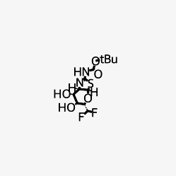 CC(C)(C)OC(=O)NC1=N[C@@H]2[C@@H](O)[C@H](O)[C@@H](C(F)F)O[C@@H]2S1